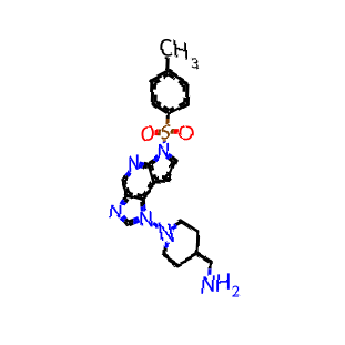 Cc1ccc(S(=O)(=O)n2ccc3c4c(cnc32)ncn4N2CCC(CN)CC2)cc1